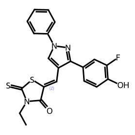 CCN1C(=O)/C(=C/c2cn(-c3ccccc3)nc2-c2ccc(O)c(F)c2)SC1=S